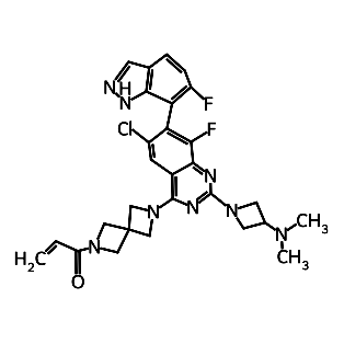 C=CC(=O)N1CC2(C1)CN(c1nc(N3CC(N(C)C)C3)nc3c(F)c(-c4c(F)ccc5cn[nH]c45)c(Cl)cc13)C2